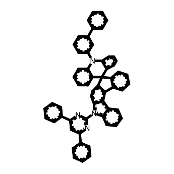 c1ccc(-c2cccc(N3c4ccccc4C4(c5ccccc5-c5c4ccc4c5c5ccccc5n4-c4nc(-c5ccccc5)cc(-c5ccccc5)n4)c4ccccc43)c2)cc1